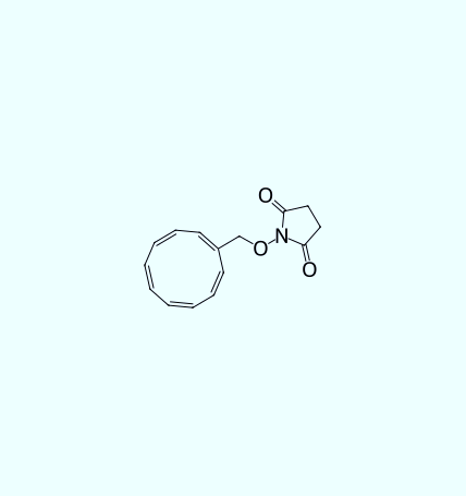 O=C1CCC(=O)N1OCc1ccccccccc1